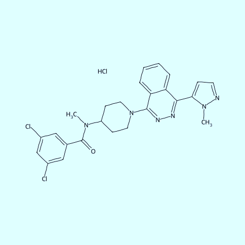 CN(C(=O)c1cc(Cl)cc(Cl)c1)C1CCN(c2nnc(-c3ccnn3C)c3ccccc23)CC1.Cl